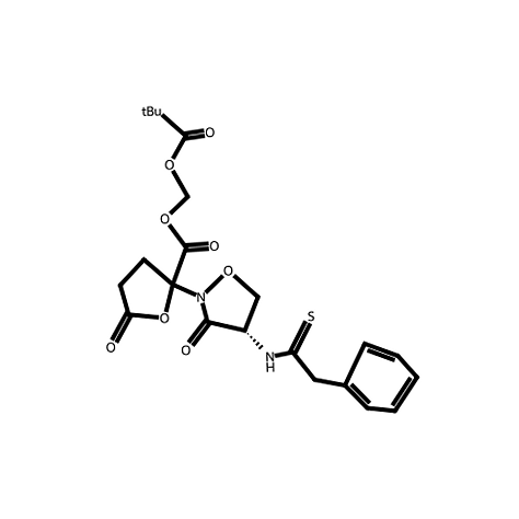 CC(C)(C)C(=O)OCOC(=O)C1(N2OC[C@H](NC(=S)Cc3ccccc3)C2=O)CCC(=O)O1